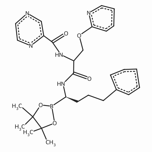 CC1(C)OB([C@H](CCCc2ccccc2)NC(=O)C(COc2ccccn2)NC(=O)c2cnccn2)OC1(C)C